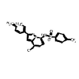 C=C/C=C\C(=C/C)c1cc2c(Cl)ccc(NS(=O)(=O)c3ccc(C(F)(F)F)cc3)n2n1